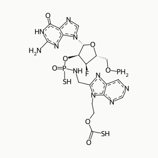 Nc1nc2c(ncn2[C@@H]2O[C@H](COP)[C@@H](F)[C@H]2OP(=O)(S)NCc2nc3cncnc3n2CCOC(=O)S)c(=O)[nH]1